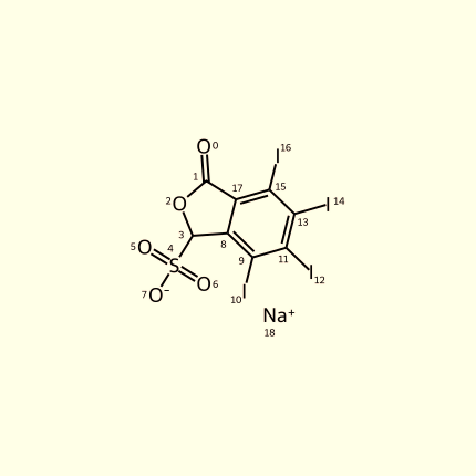 O=C1OC(S(=O)(=O)[O-])c2c(I)c(I)c(I)c(I)c21.[Na+]